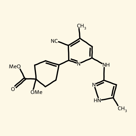 COC(=O)C1(OC)CC=C(c2nc(Nc3cc(C)[nH]n3)cc(C)c2C#N)CC1